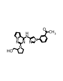 CC(=O)c1cccc(-n2cnc(Nc3nc(N4CCCC4CO)nn4cccc34)c2)c1